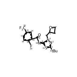 CC(C)(C)c1nn(CC2CCO2)c(=NC(=O)c2cc(C(F)(F)F)ccc2F)s1